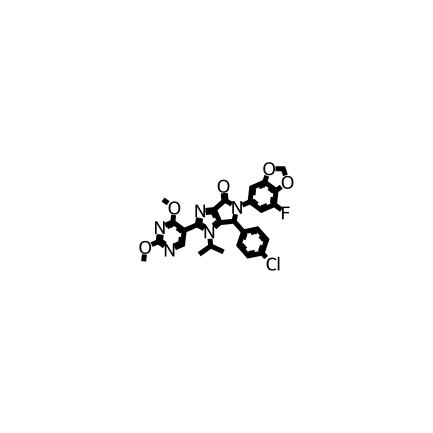 COc1ncc(-c2nc3c(n2C(C)C)C(c2ccc(Cl)cc2)N(c2cc(F)c4c(c2)OCO4)C3=O)c(OC)n1